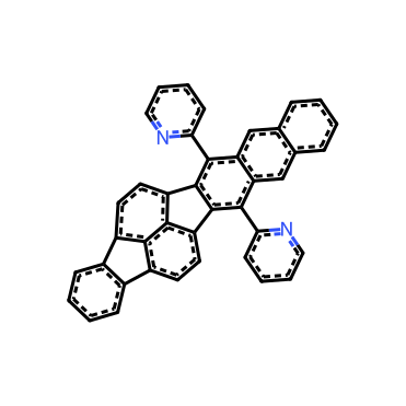 c1ccc(-c2c3c(c(-c4ccccn4)c4cc5ccccc5cc24)-c2ccc4c5c(ccc-3c25)-c2ccccc2-4)nc1